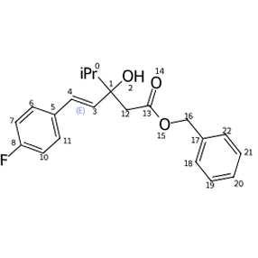 CC(C)C(O)(/C=C/c1ccc(F)cc1)CC(=O)OCc1ccccc1